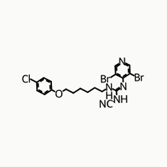 N#CNC(=Nc1c(Br)cncc1Br)NCCCCCCOc1ccc(Cl)cc1